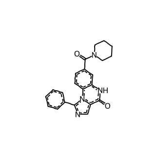 O=C(c1ccc2c(c1)[nH]c(=O)c1cnc(-c3ccccc3)n12)N1CCCCC1